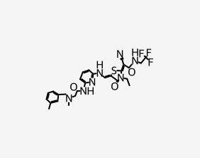 CCn1c(=C(C#N)C(=O)NCC(F)(F)F)sc(=CNc2cccc(NC(=O)CN(C)Cc3cccc(C)c3)n2)c1=O